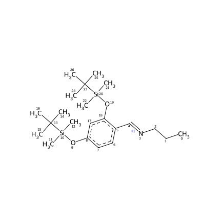 CCC/N=C/c1ccc(O[Si](C)(C)C(C)(C)C)cc1O[Si](C)(C)C(C)(C)C